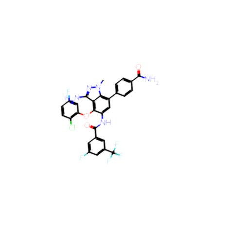 Cn1nc(N)c2c(Oc3cc(F)ccc3Cl)c(NC(=O)c3cc(F)cc(C(F)(F)F)c3)cc(-c3ccc(C(N)=O)cc3)c21